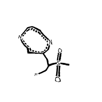 CS(=O)(=O)[C](F)c1cnccn1